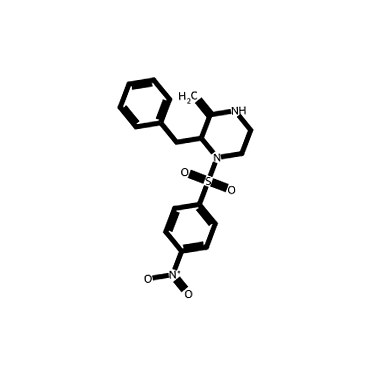 C=C1NCCN(S(=O)(=O)c2ccc([N+](=O)[O-])cc2)C1Cc1ccccc1